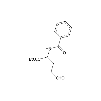 CCOC(=O)C(CCC=O)NC(=O)c1ccccc1